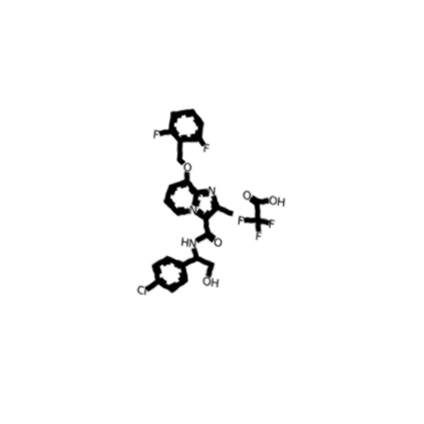 Cc1nc2c(OCc3c(F)cccc3F)cccn2c1C(=O)NC(CO)c1ccc(Cl)cc1.O=C(O)C(F)(F)F